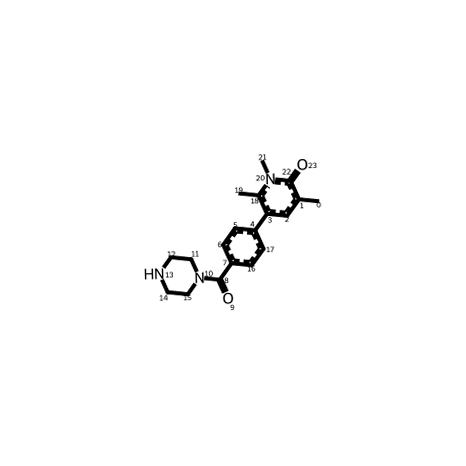 Cc1cc(-c2ccc(C(=O)N3CCNCC3)cc2)c(C)n(C)c1=O